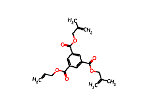 C=CCOC(=O)c1cc(C(=O)OCC(=C)C)cc(C(=O)OCC(=C)C)c1